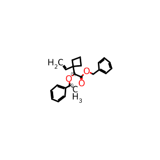 C=CC1([C@H](O[C@H](C)c2ccccc2)C(=O)OCc2ccccc2)CCC1